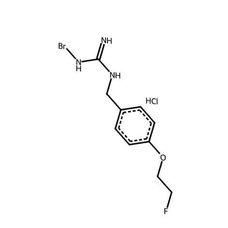 Cl.N=C(NBr)NCc1ccc(OCCF)cc1